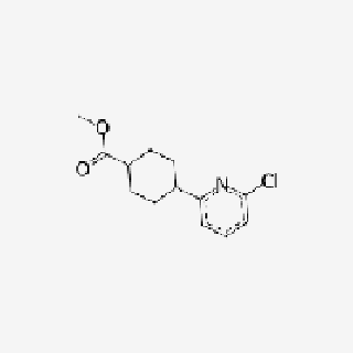 COC(=O)C1CCC(c2cccc(Cl)n2)CC1